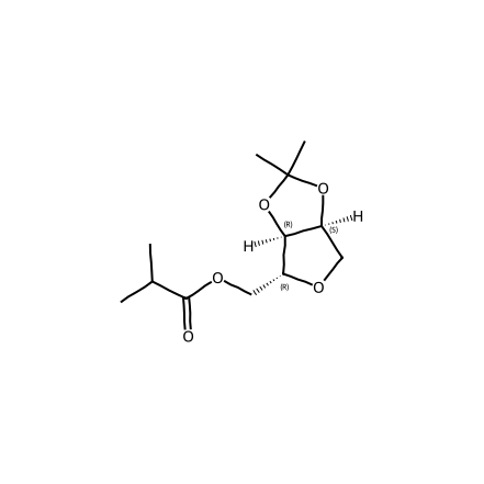 CC(C)C(=O)OC[C@H]1OC[C@@H]2OC(C)(C)O[C@@H]21